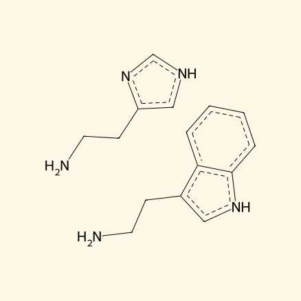 NCCc1c[nH]c2ccccc12.NCCc1c[nH]cn1